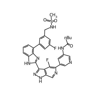 CCCCC(=O)Nc1cncc(-c2ncc3[nH]nc(-c4nc5c(-c6cc(F)cc(CNS(C)(=O)=O)c6)cccc5[nH]4)c3c2F)c1